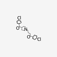 O=C(CCCN1CCC(C(=O)c2ccc(Cl)cc2)CC1)c1ccc(Cl)cc1